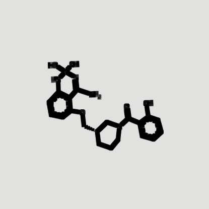 NC1=NS(O)(O)Nc2cccc(OC[C@H]3CCCN(C(=O)c4ccccc4O)C3)c21